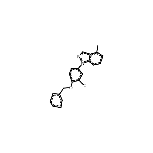 Cc1cccc2c1cnn2-c1ccc(OCc2ccccc2)c(F)c1